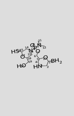 BC1CNCC(COP(=O)(N(C)C)N2CC(S)OC(CO)C2)O1